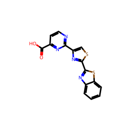 O=C(O)c1ccnc(-c2csc(-c3nc4ccccc4s3)n2)n1